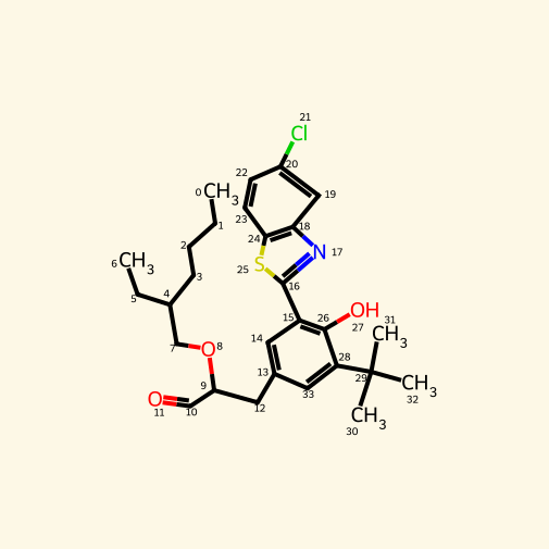 CCCCC(CC)COC(C=O)Cc1cc(-c2nc3cc(Cl)ccc3s2)c(O)c(C(C)(C)C)c1